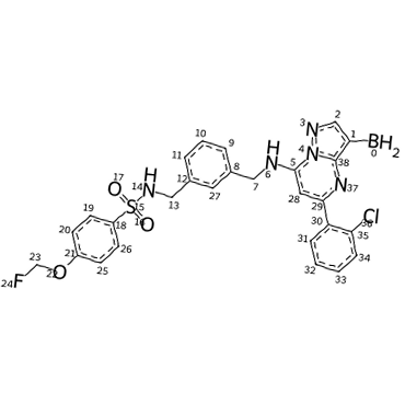 Bc1cnn2c(NCc3cccc(CNS(=O)(=O)c4ccc(OCF)cc4)c3)cc(-c3ccccc3Cl)nc12